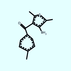 Bc1c(C)sc(C)c1C(=O)c1ccc(C)cc1